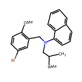 CNC(C)CN(Cc1cc(Br)ccc1OC)c1cccc2ccccc12